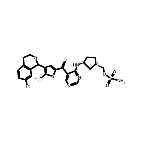 Cc1sc(C(=O)c2cncnc2N[C@H]2CC[C@@H](COS(N)(=O)=O)C2)cc1C1OCCc2ccc(Cl)cc21